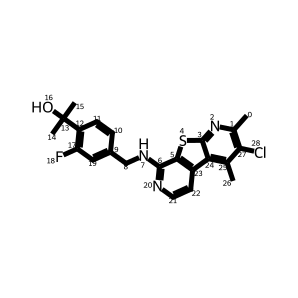 Cc1nc2sc3c(NCc4ccc(C(C)(C)O)c(F)c4)nccc3c2c(C)c1Cl